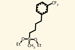 CCO[Si](C)(CCCCc1cccc(C(F)(F)F)c1)OCC